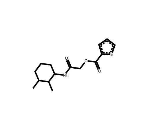 CC1CCCC(NC(=O)COC(=O)c2cccs2)C1C